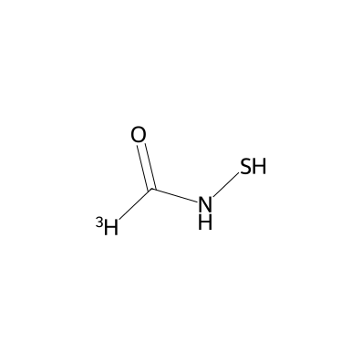 [3H]C(=O)NS